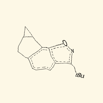 CC(C)(C)c1noc2c3c(ccc12)CC1CC31